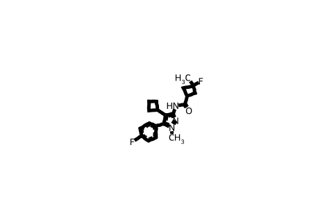 Cn1nc(NC(=O)C2CC(C)(F)C2)c(C2CCC2)c1-c1ccc(F)cc1